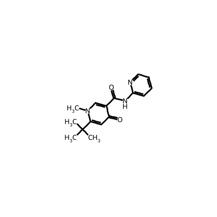 Cn1cc(C(=O)Nc2ccccn2)c(=O)cc1C(C)(C)C